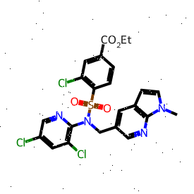 CCOC(=O)c1ccc(S(=O)(=O)N(Cc2cnc3c(ccn3C)c2)c2ncc(Cl)cc2Cl)c(Cl)c1